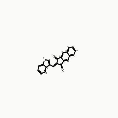 O=C1C(=Cc2coc3ccccc23)C(=O)c2cc3ccccc3cc21